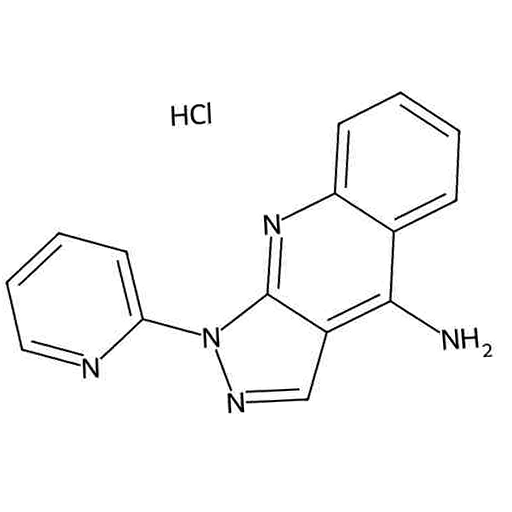 Cl.Nc1c2ccccc2nc2c1cnn2-c1ccccn1